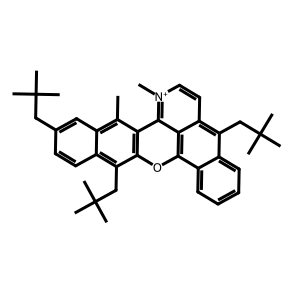 Cc1c2c(c(CC(C)(C)C)c3ccc(CC(C)(C)C)cc13)Oc1c3ccccc3c(CC(C)(C)C)c3cc[n+](C)c-2c13